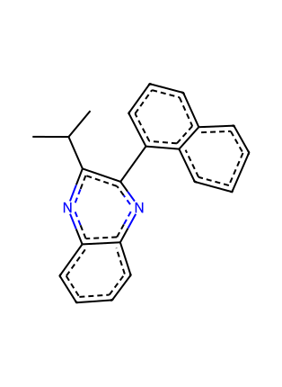 CC(C)c1nc2ccccc2nc1-c1cccc2ccccc12